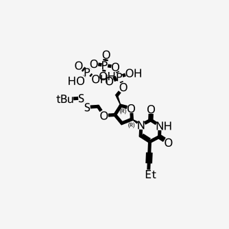 CCC#Cc1cn([C@H]2CC(OCSSC(C)(C)C)[C@@H](COP(=O)(O)OP(=O)(O)OP(=O)(O)O)O2)c(=O)[nH]c1=O